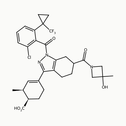 C[C@H]1C=C(c2nn(C(=O)c3c(Cl)cccc3C3(C(F)(F)F)CC3)c3c2CCC(C(=O)N2CC(C)(O)C2)C3)CC[C@H]1C(=O)O